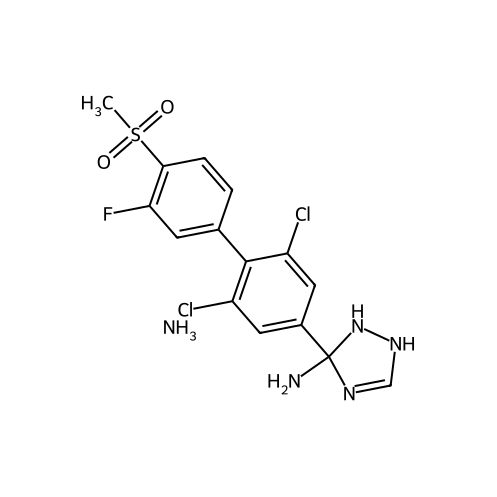 CS(=O)(=O)c1ccc(-c2c(Cl)cc(C3(N)N=CNN3)cc2Cl)cc1F.N